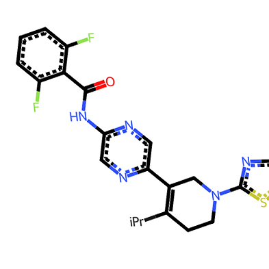 CC(C)C1=C(c2cnc(NC(=O)c3c(F)cccc3F)cn2)CN(c2nccs2)CC1